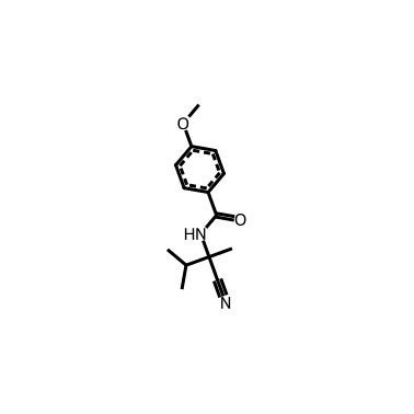 COc1ccc(C(=O)NC(C)(C#N)C(C)C)cc1